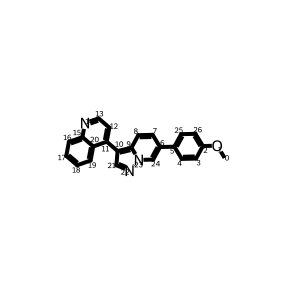 COc1ccc(-c2ccc3c(-c4ccnc5ccccc45)cnn3c2)cc1